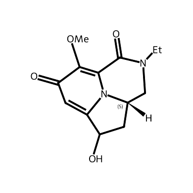 CCN1C[C@@H]2CC(O)c3cc(=O)c(OC)c(n32)C1=O